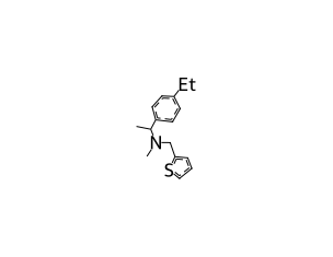 CCc1ccc(C(C)N(C)Cc2cccs2)cc1